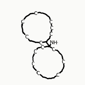 [NH]C1(C2CCCCCCCCCCCCCCCCC2)CCCCCCCCCCCCCCCCC1